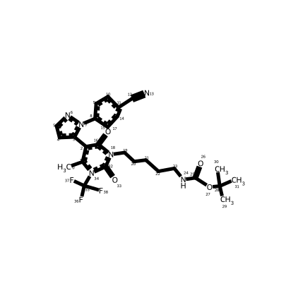 Cc1c(-c2ccnn2-c2ccc(C#N)cc2)c(=O)n(CCCCCNC(=O)OC(C)(C)C)c(=O)n1C(F)(F)F